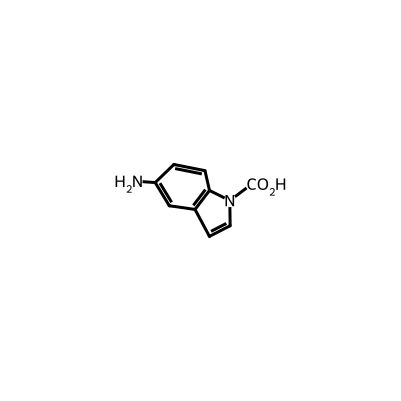 Nc1ccc2c(ccn2C(=O)O)c1